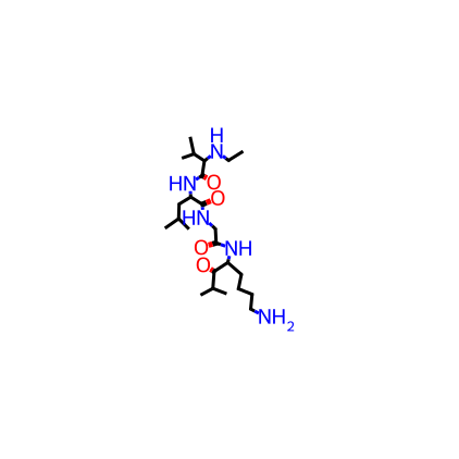 CCNC(C(=O)NC(CC(C)C)C(=O)NCC(=O)NC(CCCCN)C(=O)C(C)C)C(C)C